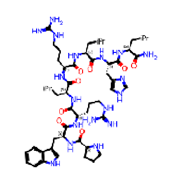 CC(C)C[C@H](NC(=O)[C@H](Cc1c[nH]cn1)NC(=O)[C@H](CC(C)C)NC(=O)[C@H](CCCNC(=N)N)NC(=O)[C@H](CC(C)C)NC(=O)[C@H](CCCNC(=N)N)NC(=O)[C@H](Cc1c[nH]c2ccccc12)NC(=O)[C@@H]1CCCN1)C(N)=O